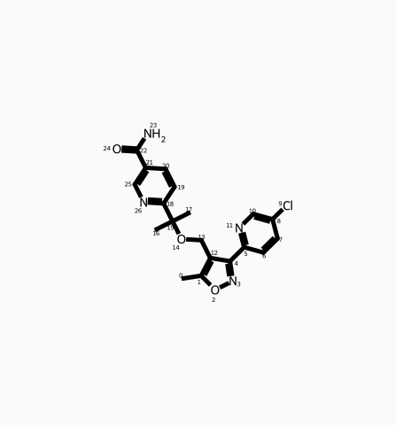 Cc1onc(-c2ccc(Cl)cn2)c1COC(C)(C)c1ccc(C(N)=O)cn1